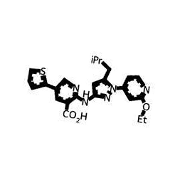 CCOc1cc(-n2nc(Nc3ncc(-c4cccs4)cc3C(=O)O)cc2CC(C)C)ccn1